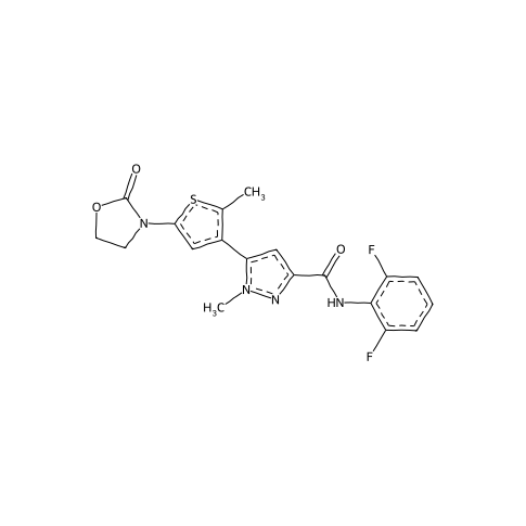 Cc1sc(N2CCOC2=O)cc1-c1cc(C(=O)Nc2c(F)cccc2F)nn1C